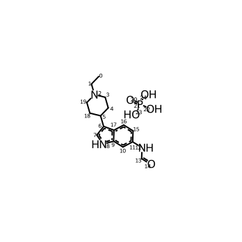 CCN1CCC(c2c[nH]c3cc(NC=O)ccc23)CC1.O=P(O)(O)O